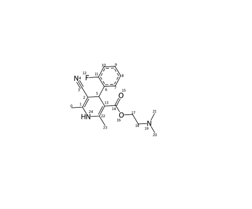 CC1=C(C#N)C(c2ccccc2F)C(C(=O)OCCN(C)C)=C(C)N1